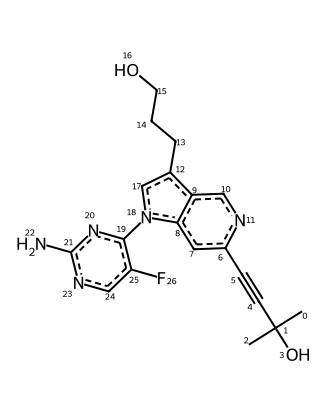 CC(C)(O)C#Cc1cc2c(cn1)c(CCCO)cn2-c1nc(N)ncc1F